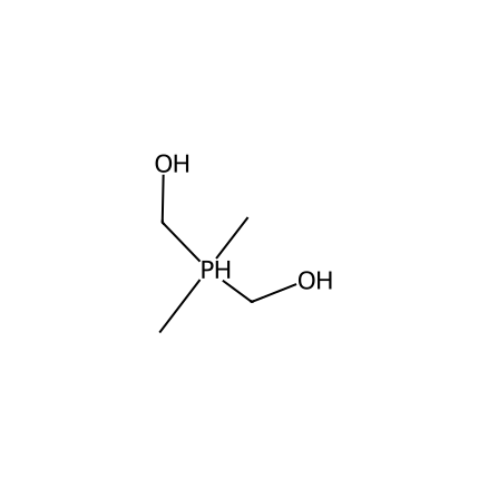 C[PH](C)(CO)CO